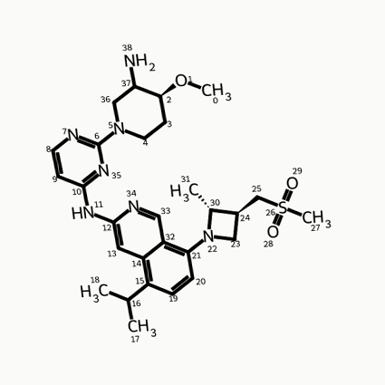 CO[C@H]1CCN(c2nccc(Nc3cc4c(C(C)C)ccc(N5C[C@H](CS(C)(=O)=O)[C@H]5C)c4cn3)n2)CC1N